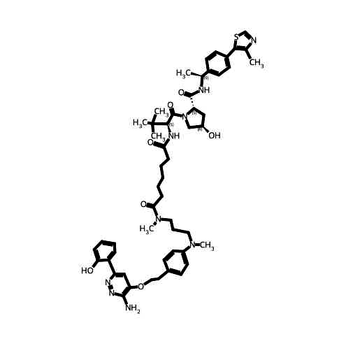 Cc1ncsc1-c1ccc([C@H](C)NC(=O)[C@@H]2C[C@@H](O)CN2C(=O)[C@@H](NC(=O)CCCCCC(=O)N(C)CCCN(C)c2ccc(CCOc3cc(-c4ccccc4O)nnc3N)cc2)C(C)(C)C)cc1